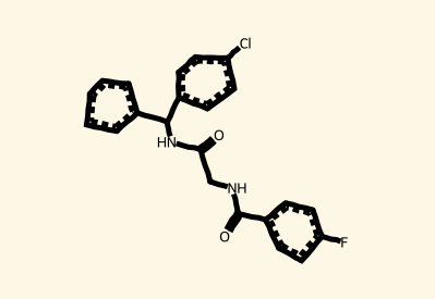 O=C(CNC(=O)c1ccc(F)cc1)NC(c1ccccc1)c1ccc(Cl)cc1